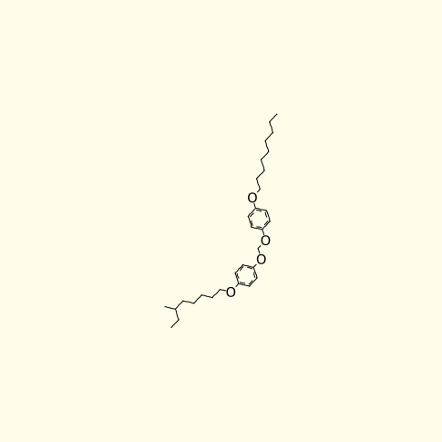 CCCCCCCCCOc1ccc(OCOc2ccc(OCCCCCC(C)CC)cc2)cc1